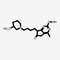 CCCCOc1nc(C)c2c(n1)C(CCCCN1CCCC(C(=O)O)C1)C(=O)C2